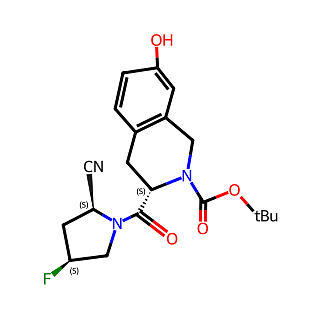 CC(C)(C)OC(=O)N1Cc2cc(O)ccc2C[C@H]1C(=O)N1C[C@@H](F)C[C@H]1C#N